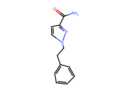 NC(=O)c1[c]cn(CCc2ccccc2)n1